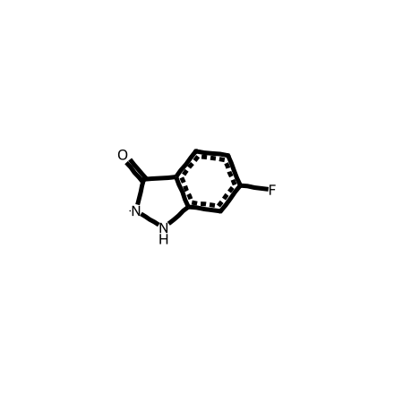 O=C1[N]Nc2cc(F)ccc21